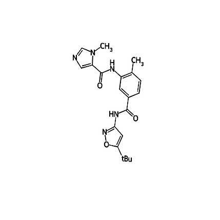 Cc1ccc(C(=O)Nc2cc(C(C)(C)C)on2)cc1NC(=O)c1cncn1C